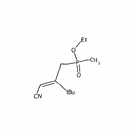 CCOP(C)(=O)C/C(=C/C#N)C(C)(C)C